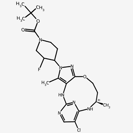 Cc1c2c(nn1C1CCN(C(=O)OC(C)(C)C)CC1F)OCC[C@@H](C)Nc1nc(ncc1Cl)N2